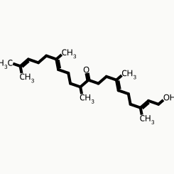 CC(C)=CCCC(C)=CCCC(C)C(=O)CCC(C)=CCCC(C)=CCO